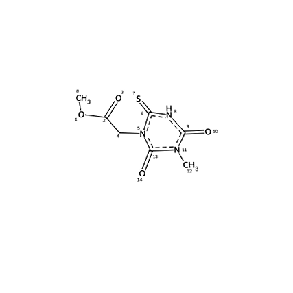 COC(=O)Cn1c(=S)[nH]c(=O)n(C)c1=O